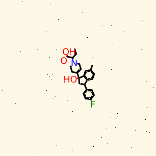 CCC(C(=O)O)N1CC=C(C2(O)CC(c3ccc(F)cc3)c3ccc(C)cc32)CC1